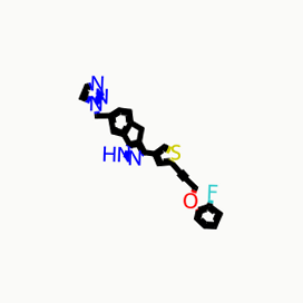 Fc1ccccc1OCC#Cc1cc(-c2n[nH]c3c2Cc2ccc(Cn4ccnn4)cc2-3)cs1